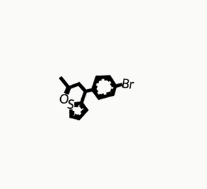 CC(=O)CC(c1ccc(Br)cc1)c1cccs1